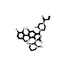 C=CC(=O)N1CCN(c2nc(=O)n(C3N(CC)CCCN3CC)c3c4c(c(Cl)cc23)-c2c(ccc(F)c2F)CO4)[C@@H](C)C1